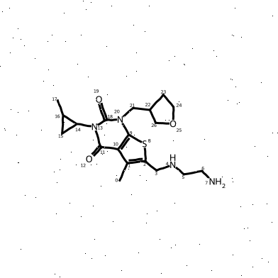 Cc1c(CNCCN)sc2c1c(=O)n(C1CC1C)c(=O)n2CC1CCOC1